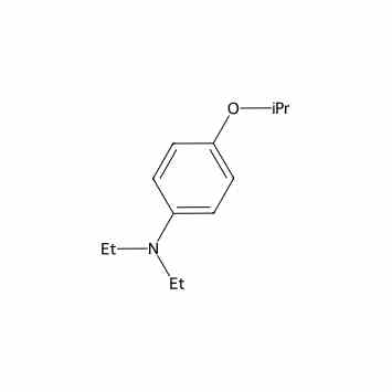 CCN(CC)c1ccc(OC(C)C)cc1